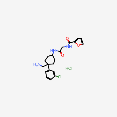 Cl.NCC1(c2cccc(Cl)c2)CCC(NC(=O)CNC(=O)c2ccco2)CC1